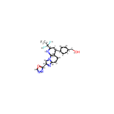 OCc1ccc(-c2cc(C(F)(F)C(F)(F)F)nc3c2ccc2nc(-c4nnco4)cn23)cc1